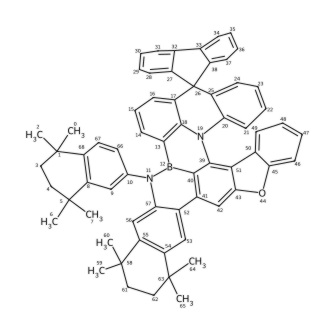 CC1(C)CCC(C)(C)c2cc(N3B4c5cccc6c5N(c5ccccc5C65c6ccccc6-c6ccccc65)c5c4c(cc4oc6ccccc6c54)-c4cc5c(cc43)C(C)(C)CCC5(C)C)ccc21